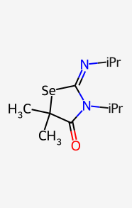 CC(C)N=C1[Se]C(C)(C)C(=O)N1C(C)C